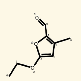 CCOc1cc(C)c(C=O)o1